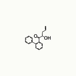 C=CCC(O)C(=O)c1ccccc1-c1ccccc1